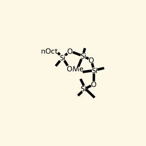 CCCCCCCC[Si](C)(OC)O[Si](C)(C)O[Si](C)(C)O[Si](C)(C)C